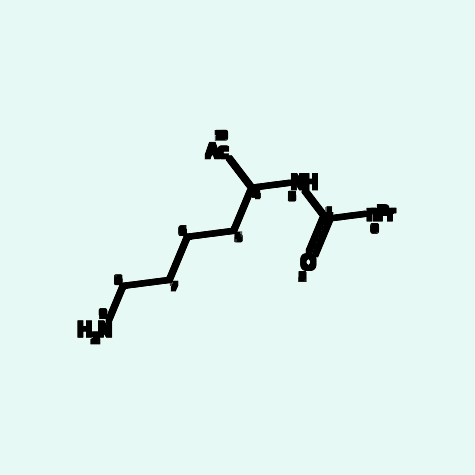 CCCC(=O)NC(CCCCN)C(C)=O